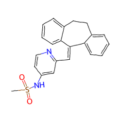 CS(=O)(=O)Nc1ccnc(C=C2c3ccccc3CCc3ccccc32)c1